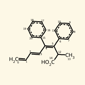 C=CC=CC(=C(c1ccccc1)C(C)C(=O)O)c1ccccc1